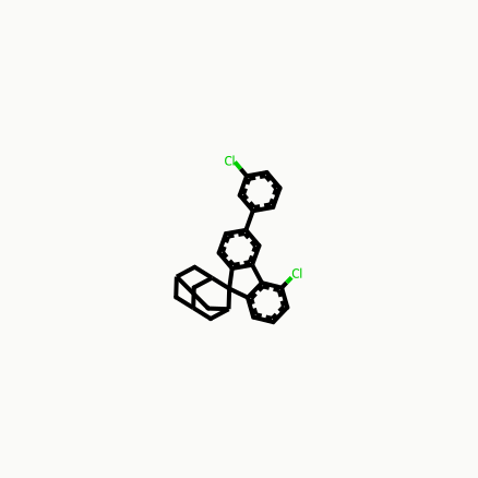 Clc1cccc(-c2ccc3c(c2)-c2c(Cl)cccc2C32C3CC4CC(C3)CC2C4)c1